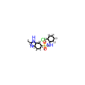 Cc1nc2ccc(S(=O)(=O)Nc3ccccc3Cl)cc2[nH]1